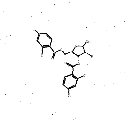 O=C(OC[C@H]1OC(O)[C@@H](F)[C@@H]1OC(=O)c1ccc(Cl)cc1Cl)c1ccc(Cl)cc1Cl